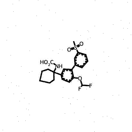 CS(=O)(=O)c1cccc(-c2cc(C3(NC(=O)O)CCCCC3)ccc2OC(F)F)c1